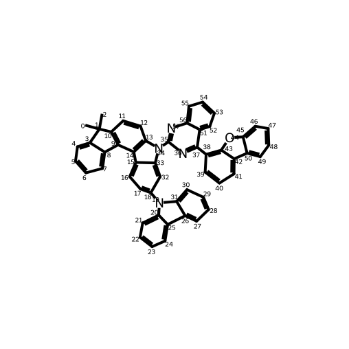 CC1(C)c2ccccc2-c2c1ccc1c2c2ccc(-n3c4ccccc4c4ccccc43)cc2n1-c1nc(-c2cccc3c2oc2ccccc23)c2ccccc2n1